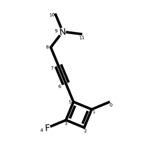 CC1=CC(F)=C1C#CCN(C)C